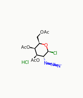 CC(=O)OC[C@H]1O[C@@H](Cl)[C@H](N=[N+]=[N-])[C@@H](OC(C)=O)[C@H]1OC(C)=O.Cl